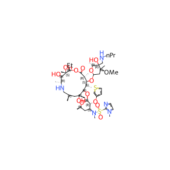 CCCNC[C@@]1(O)[C@@H](C)OC(O[C@H]2[C@H](C)[C@@H](O[C@@H]3O[C@H](C)C[C@H](N(C)S(=O)(=O)c4nccn4C)[C@H]3Oc3ccsc3)[C@](C)(O)C[C@@H](C)CN[C@H](C)[C@@H](O)[C@](C)(O)[C@@H](CC)OC(=O)[C@@H]2C)C[C@]1(C)OC